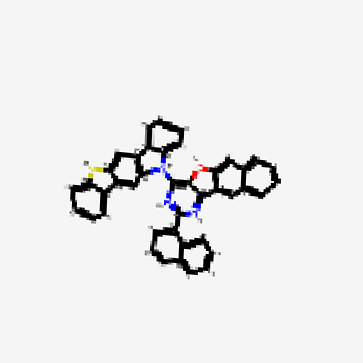 c1ccc2cc3c(cc2c1)oc1c(-n2c4ccccc4c4cc5sc6ccccc6c5cc42)nc(-c2cccc4ccccc24)nc13